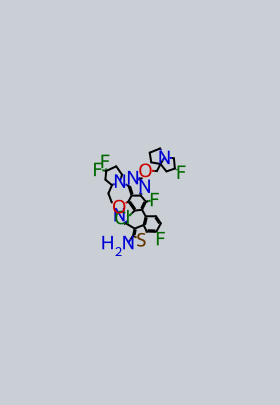 N#Cc1c(N)sc2c(F)ccc(-c3c(Cl)c4c5c(nc(OCC67CCCN6C[C@H](F)C7)nc5c3F)N3CCC(F)(F)CC3CCO4)c12